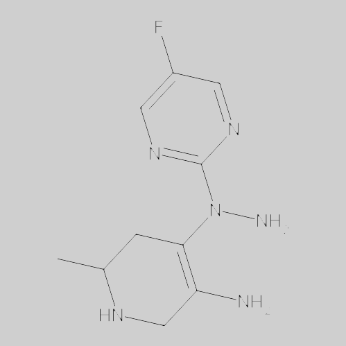 CC1CC(N(N)c2ncc(F)cn2)=C(N)CN1